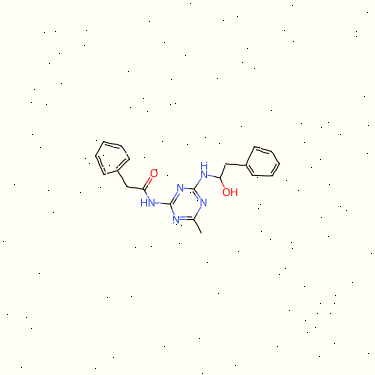 Cc1nc(NC(=O)Cc2ccccc2)nc(NC(O)Cc2ccccc2)n1